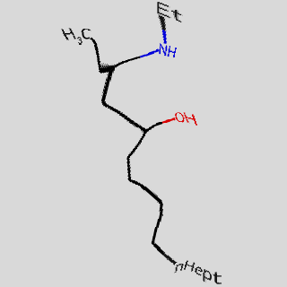 CCCCCCCCCCC(O)CC(C)NCC